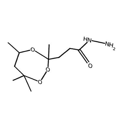 CC1CC(C)(C)OOC(C)(CCC(=O)NN)O1